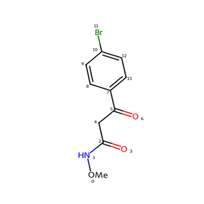 CONC(=O)CC(=O)c1ccc(Br)cc1